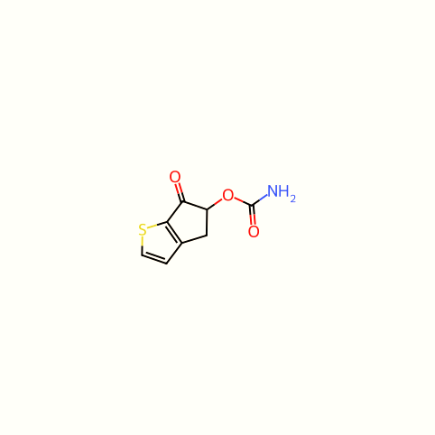 NC(=O)OC1Cc2ccsc2C1=O